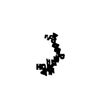 O=C(N1CC2(CC(OCC3(C(F)(F)F)CC3)C2)C1)N1CC2(CC(c3nnc(C4(O)CC4)[nH]3)C2)C1